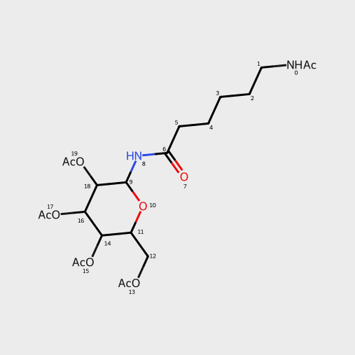 CC(=O)NCCCCCC(=O)NC1OC(COC(C)=O)C(OC(C)=O)C(OC(C)=O)C1OC(C)=O